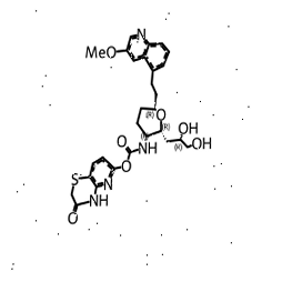 COc1cnc2cccc(CC[C@@H]3CC[C@@H](NC(=O)Oc4ccc5c(n4)NC(=O)CS5)[C@@H](C[C@@H](O)CO)O3)c2c1